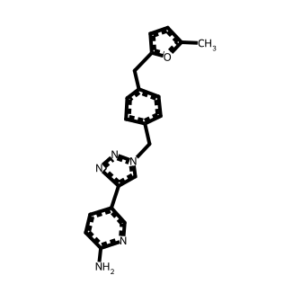 Cc1ccc(Cc2ccc(Cn3cc(-c4ccc(N)nc4)nn3)cc2)o1